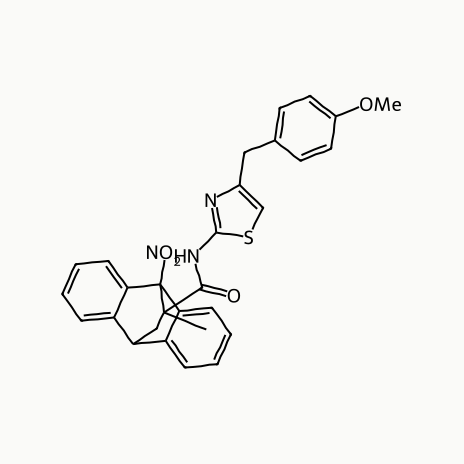 COc1ccc(Cc2csc(NC(=O)C3(C)CC4c5ccccc5C3([N+](=O)[O-])c3ccccc34)n2)cc1